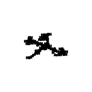 CC(=O)N[C@H]1[C@H](OCCCCC(=O)NCCCC[C@H](NC(=O)CCCCO[C@@H]2O[C@H](CO)[C@H](O)[C@H](O)[C@H]2NC(C)=O)C(=O)N[C@@H](CCCCNC(=O)CCCCO[C@@H]2O[C@H](CO)[C@H](O)[C@H](O)[C@H]2NC(C)=O)C(=O)NCCCCCC(=O)NCCCCCCO)O[C@H](CO)[C@H](O)[C@@H]1O